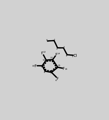 CCCCCCl.Fc1cc(F)c(F)c(F)c1F